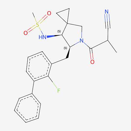 CC(C#N)C(=O)N1CC2(CC2)[C@H](NS(C)(=O)=O)[C@@H]1Cc1cccc(-c2ccccc2)c1F